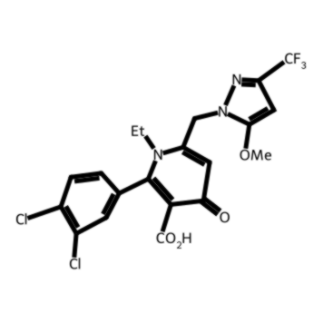 CCn1c(Cn2nc(C(F)(F)F)cc2OC)cc(=O)c(C(=O)O)c1-c1ccc(Cl)c(Cl)c1